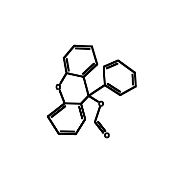 O=COC1(c2ccccc2)c2ccccc2Oc2ccccc21